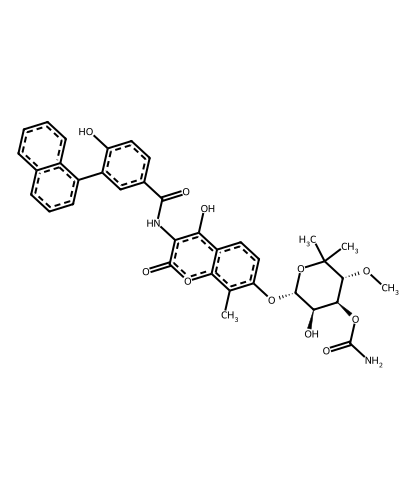 CO[C@@H]1[C@@H](OC(N)=O)[C@@H](O)[C@H](Oc2ccc3c(O)c(NC(=O)c4ccc(O)c(-c5cccc6ccccc56)c4)c(=O)oc3c2C)OC1(C)C